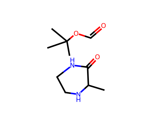 CC(C)(C)OC=O.CC1NCCNC1=O